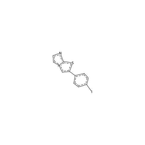 Ic1ccc(-c2cn3ccnc3s2)cc1